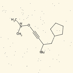 C[SiH](C)OC#CC(CC1CCCC1)C(C)(C)C